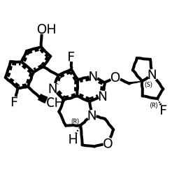 C#Cc1c(F)ccc2cc(O)cc(-c3nc4c5c(nc(OC[C@@]67CCCN6C[C@H](F)C7)nc5c3F)N3CCOCC[C@H]3CC4)c12